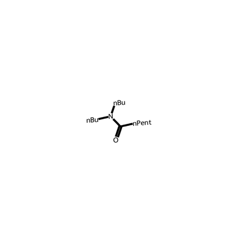 CCCCCC(=O)N(CCCC)CCCC